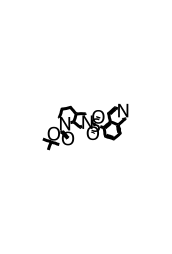 CC(C)(C)OC(=O)N1CCCC2CN(S(=O)(=O)c3cccc4cnccc34)CC21